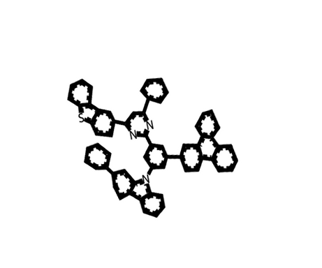 c1ccc(-c2ccc3c4ccccc4n(-c4cc(-c5ccc6c7ccccc7c7ccccc7c6c5)cc(-c5nc(-c6ccccc6)cc(-c6ccc7sc8ccccc8c7c6)n5)c4)c3c2)cc1